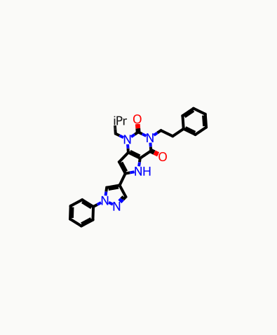 CC(C)Cn1c(=O)n(CCc2ccccc2)c(=O)c2[nH]c(-c3cnn(-c4ccccc4)c3)cc21